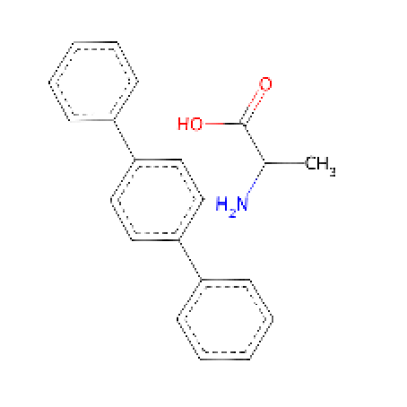 CC(N)C(=O)O.c1ccc(-c2ccc(-c3ccccc3)cc2)cc1